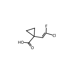 O=C(O)C1(C=C(F)Cl)CC1